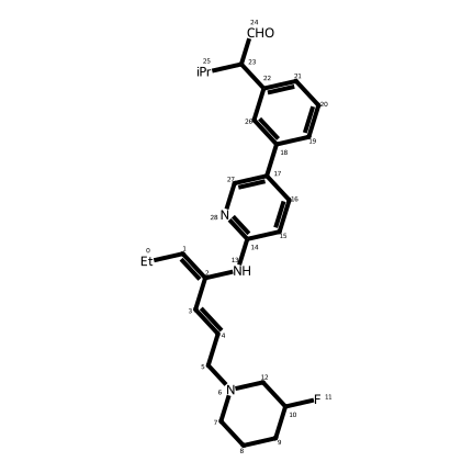 CC/C=C(\C=C\CN1CCCC(F)C1)Nc1ccc(-c2cccc(C(C=O)C(C)C)c2)cn1